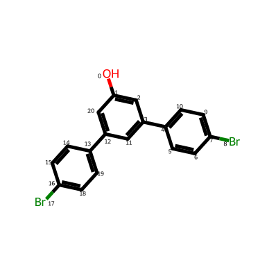 Oc1cc(-c2ccc(Br)cc2)cc(-c2ccc(Br)cc2)c1